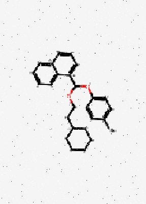 CCC(C)c1ccc(OC(OCCC2CCCCC2)c2cccc3ccccc23)cc1